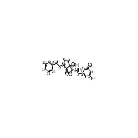 O=C(NCc1cc(F)cc(Cl)c1)[C@@]1(O)CCN(CCc2ccccc2)C1=O